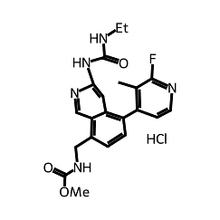 CCNC(=O)Nc1cc2c(-c3ccnc(F)c3C)ccc(CNC(=O)OC)c2cn1.Cl